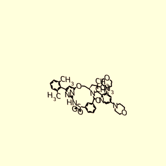 Cc1cccc(C)c1-c1cc2nc(n1)NS(=O)(=O)c1cccc(c1)C(=O)N(Cc1ncc(N3CCOCC3)cc1N1CCOCC1)[C@H](CC(C)(C)C)CO2